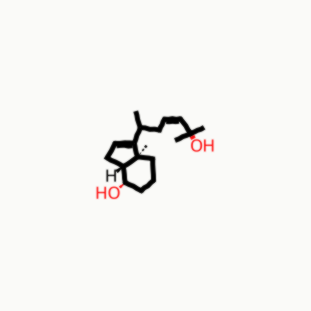 CC(C/C=C\C(C)(C)O)C1=CC[C@H]2[C@@H](O)CCC[C@]12C